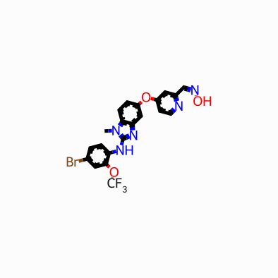 Cn1c(Nc2ccc(Br)cc2OC(F)(F)F)nc2cc(Oc3ccnc(/C=N\O)c3)ccc21